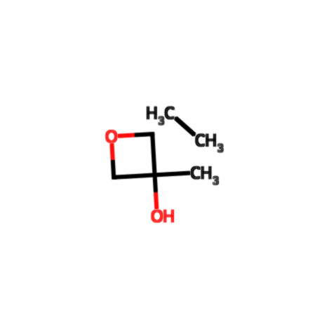 CC.CC1(O)COC1